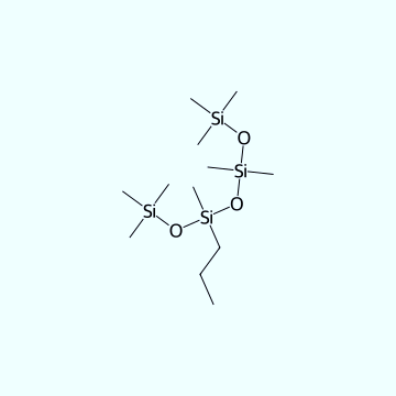 CCC[Si](C)(O[Si](C)(C)C)O[Si](C)(C)O[Si](C)(C)C